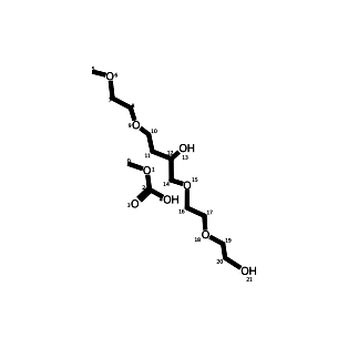 COC(=O)O.COCCOCCC(O)COCCOCCO